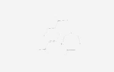 O=C(O)c1ccc(C(=O)O)cc1.O=C1CCCCCN1